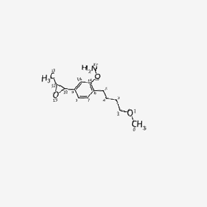 COCCCCc1ccc(C2OC2C)cc1ON